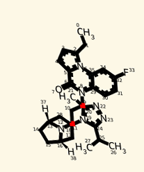 CCc1ccc2c(=O)n(CCCN3[C@@H]4CC[C@H]3CC(n3c(C)nnc3C(C)C)C4)c3ccc(F)cc3n12